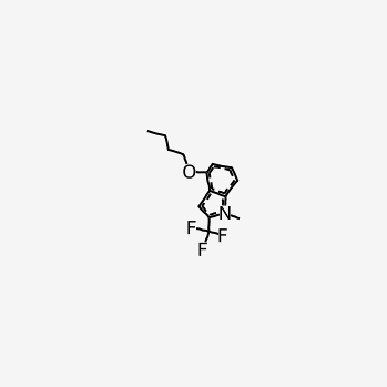 CCCCOc1cccc2c1cc(C(F)(F)F)n2C